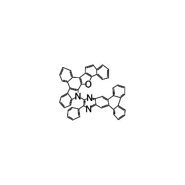 c1ccc(-c2nc3cc4c5ccccc5c5ccccc5c4cc3nc2-n2c3ccccc3c3c4ccccc4c4c5ccc6ccccc6c5oc4c32)cc1